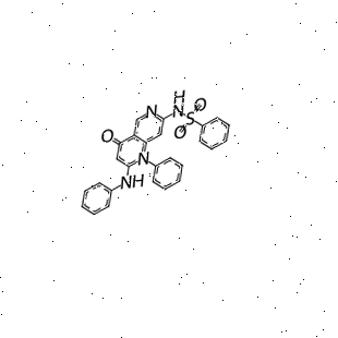 O=c1cc(Nc2ccccc2)n(-c2ccccc2)c2cc(NS(=O)(=O)c3ccccc3)ncc12